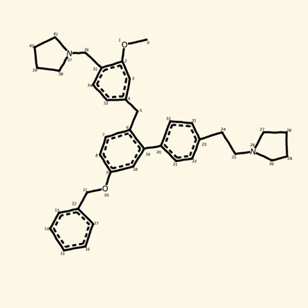 COc1cc(Cc2ccc(OCc3ccccc3)cc2-c2ccc(CCN3CCCC3)cc2)ccc1CN1CCCC1